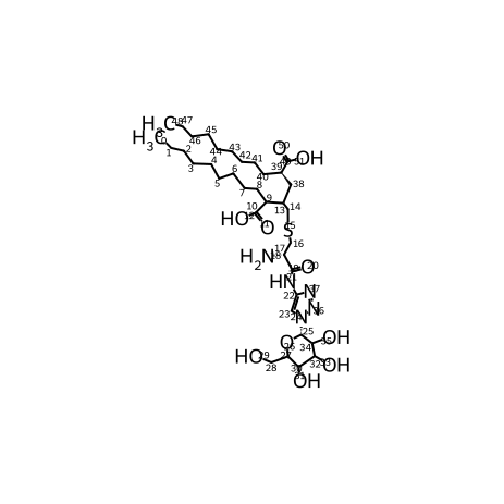 CCCCCCCCCC(C(=O)O)C(CSC[C@@H](N)C(=O)Nc1cn([C@H]2OC(CO)C(O)C(O)C2O)nn1)C[C@@H](CCCCCCCCC)C(=O)O